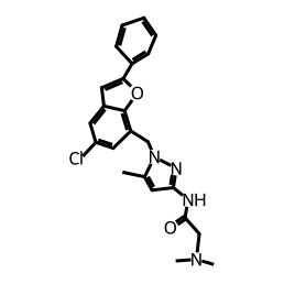 Cc1cc(NC(=O)CN(C)C)nn1Cc1cc(Cl)cc2cc(-c3ccccc3)oc12